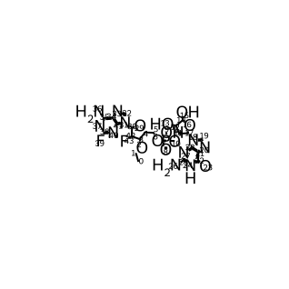 CCOC1C(COP(=O)(O)OC2C(O)C(O)OC2n2cnc3c(=O)[nH]c(N)nc32)OC(n2cnc3c(N)nc(F)nc32)C1F